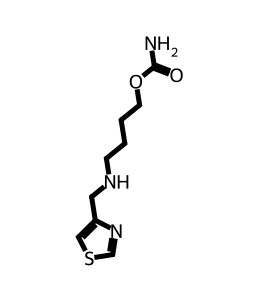 NC(=O)OCCCCNCc1cscn1